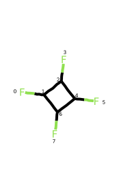 FC1C(F)C(F)C1F